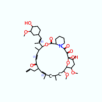 C=CCC1/C=C(/C)CC(C)CC(OC)C2OC(O)(C(=O)C(=O)N3CCCCC3C(=O)OC(/C(C)=C/C3CCC(O)C(OC)C3)C(C)/C=C\C1=O)C(C)CC2OC